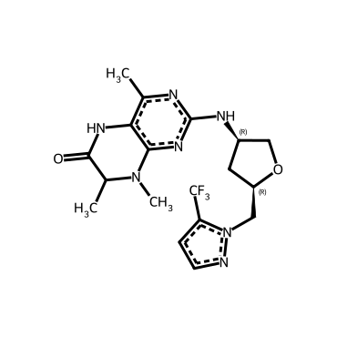 Cc1nc(N[C@H]2CO[C@@H](Cn3nccc3C(F)(F)F)C2)nc2c1NC(=O)C(C)N2C